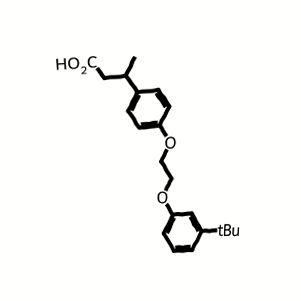 CC(CC(=O)O)c1ccc(OCCOc2cccc(C(C)(C)C)c2)cc1